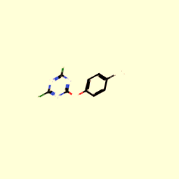 N#Cc1ccc(Oc2nc(Cl)nc(Cl)n2)cc1